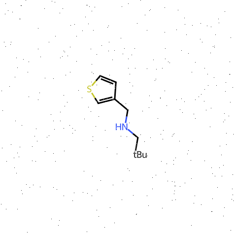 CC(C)(C)CNCc1ccsc1